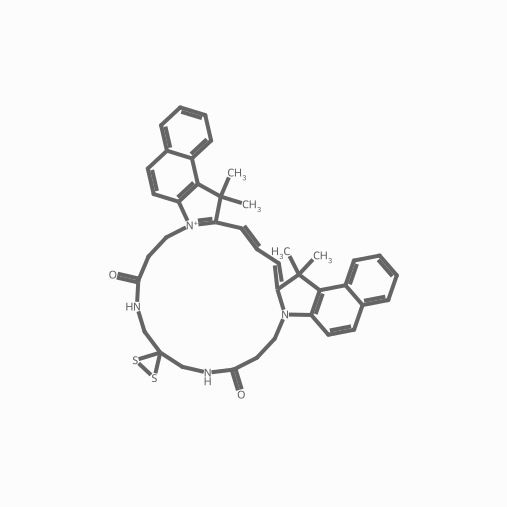 CC1(C)C2=[N+](CCC(=O)NCC3(CNC(=O)CCN4/C(=C/C=C/2)C(C)(C)c2c4ccc4ccccc24)SS3)c2ccc3ccccc3c21